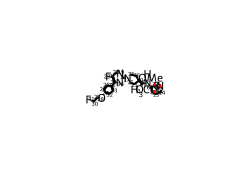 COC1(C(=O)NC2(C)CCN3CCC2CC3)CCN(c2ncc(F)c(-c3ccc(OCCF)cc3)n2)CC1